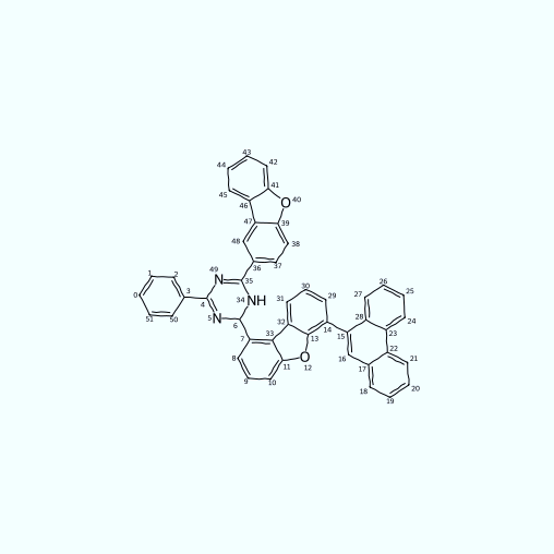 c1ccc(C2=NC(c3cccc4oc5c(-c6cc7ccccc7c7ccccc67)cccc5c34)NC(c3ccc4oc5ccccc5c4c3)=N2)cc1